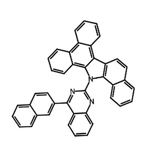 c1ccc2cc(-c3nc(-n4c5c6ccccc6ccc5c5c6ccccc6c6ccccc6c54)nc4ccccc34)ccc2c1